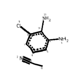 CC#N.Nc1cccc(Cl)c1N